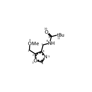 COCc1ocnc1CNC(=O)C(C)(C)C